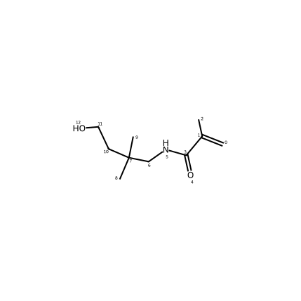 C=C(C)C(=O)NCC(C)(C)CCO